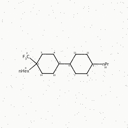 CCCCCCC1(C(F)(F)F)CCC(C2CCC(CCC)CC2)CC1